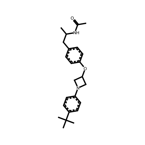 CC(=O)NC(C)Cc1ccc(OC2CN(c3ccc(C(C)(C)C)cc3)C2)cc1